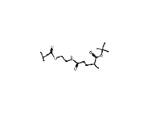 CC(C)C(=O)OCCNC(=O)CCC(C)C(=O)OC(C)(C)C